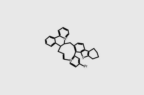 CC(C)c1cc[n+]2c(c1)-c1c(ccc3c4c(sc13)CCCC4)CC1C(C/C=C/2)c2ccccc2-c2cccc[n+]21